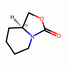 O=C1OC[C@@H]2CCCCN12